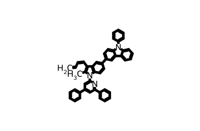 C=C/C=C\c1c(C)n(-c2cc(-c3ccccc3)cc(-c3ccccc3)n2)c2ccc(-c3ccc4c(c3)c3ccccc3n4-c3ccccc3)cc12